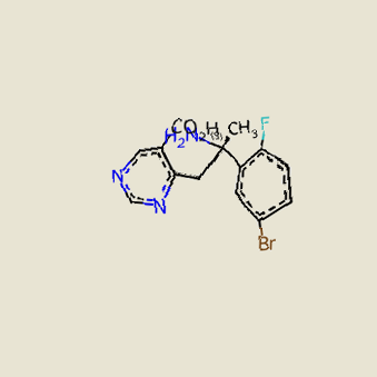 C[C@](N)(Cc1ncncc1C(=O)O)c1cc(Br)ccc1F